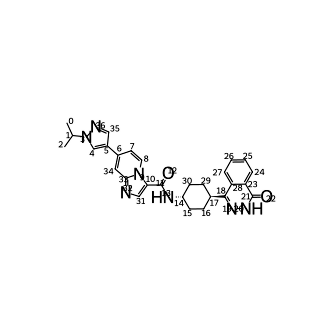 CC(C)n1cc(-c2ccn3c(C(=O)N[C@H]4CC[C@H](c5n[nH]c(=O)c6ccccc65)CC4)cnc3c2)cn1